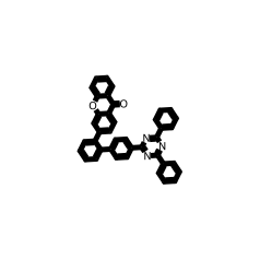 O=c1c2ccccc2oc2cc(-c3ccccc3-c3ccc(-c4nc(-c5ccccc5)nc(-c5ccccc5)n4)cc3)ccc12